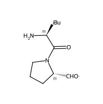 CCC(C)[C@H](N)C(=O)N1CCC[C@H]1[C]=O